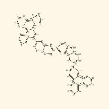 c1ccc2c(c1)c(-c1ccc3ccc(-c4ccc5oc6ccc(-c7ccc8c9ccccc9c9ccccc9c8c7)cc6c5c4)cc3c1)cc1c3ccccc3c3ccccc3c21